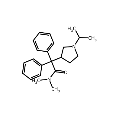 CC(C)N1CCC(C(C(=O)N(C)C)(c2ccccc2)c2ccccc2)C1